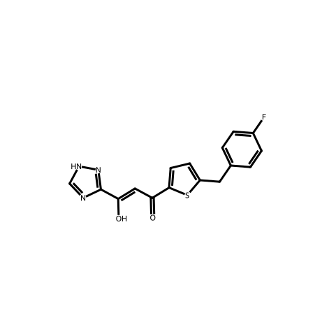 O=C(C=C(O)c1nc[nH]n1)c1ccc(Cc2ccc(F)cc2)s1